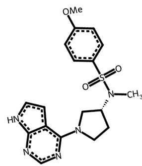 COc1ccc(S(=O)(=O)N(C)[C@@H]2CCN(c3ncnc4[nH]ccc34)C2)cc1